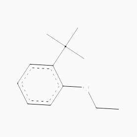 C[CH]Oc1ccccc1C(C)(C)C